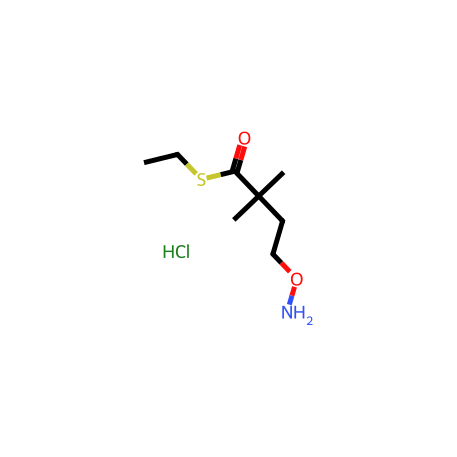 CCSC(=O)C(C)(C)CCON.Cl